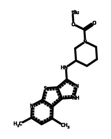 Cc1cc(C)c2c(n1)sc1c(NC3CCCN(C(=O)OC(C)(C)C)C3)n[nH]c12